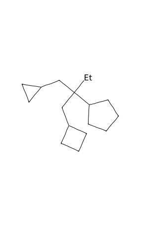 CCC(CC1CCC1)(CC1CC1)C1CCCC1